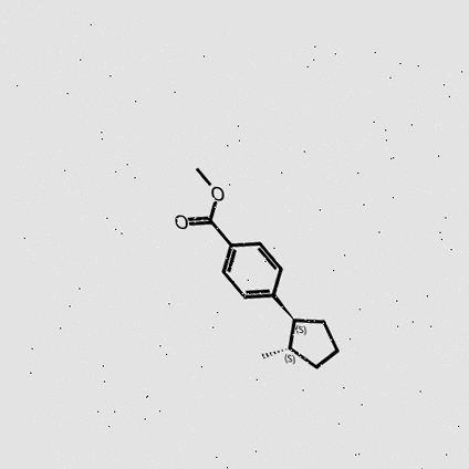 COC(=O)c1ccc([C@H]2CCC[C@@H]2C)cc1